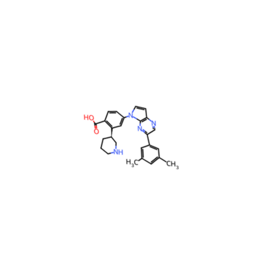 Cc1cc(C)cc(-c2cnc3ccn(-c4ccc(C(=O)O)c([C@@H]5CCCNC5)c4)c3n2)c1